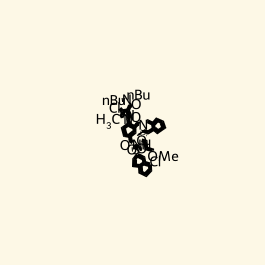 CCCCN(CCCC)C(=O)c1nn(-c2ccc(C(=O)NS(=O)(=O)c3ccc4cccc(Cl)c4c3)cc2C(=O)N2Cc3ccccc3C[C@H]2COCCCOC)c(C)c1Cl